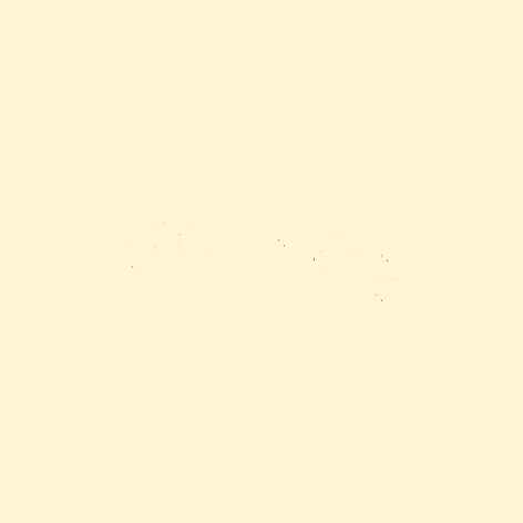 CN(C)S(=O)(=O)N1CCOc2ccc([C@@H](O)CNCCOc3ccc4c(c3)sc3ccccc34)cc21